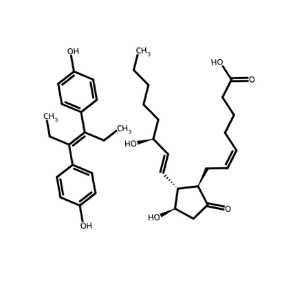 CC/C(=C(/CC)c1ccc(O)cc1)c1ccc(O)cc1.CCCCC[C@H](O)/C=C/[C@H]1[C@H](O)CC(=O)[C@@H]1C/C=C\CCCC(=O)O